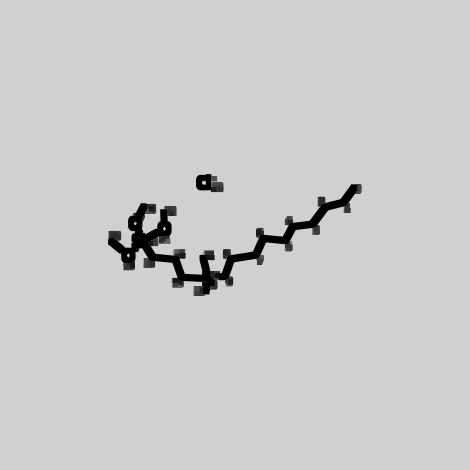 CCCCCCCCCC[N+](C)(C)CCC[Si](OC)(OC)OC.[Cl-]